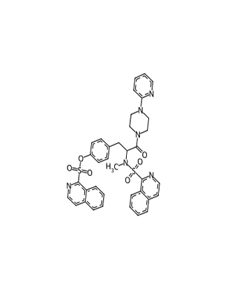 CN(C(Cc1ccc(OS(=O)(=O)c2nccc3ccccc23)cc1)C(=O)N1CCN(c2ccccn2)CC1)S(=O)(=O)c1nccc2ccccc12